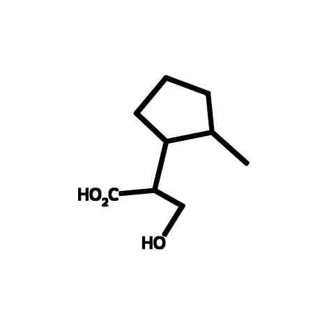 CC1CCCC1C(CO)C(=O)O